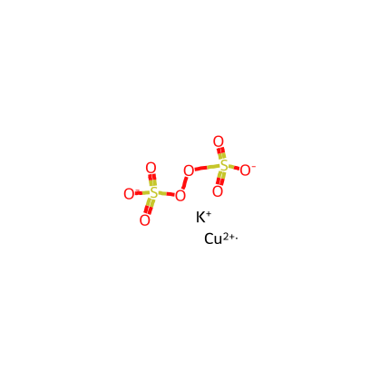 O=S(=O)([O-])OOS(=O)(=O)[O-].[Cu+2].[K+]